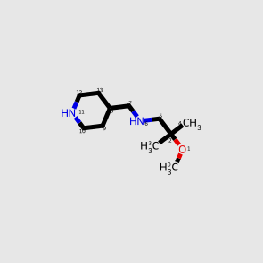 COC(C)(C)CNCC1CCNCC1